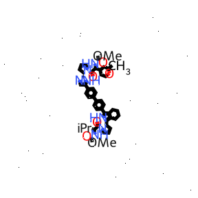 COC(=O)NC(C(=O)N1CCCC1c1[nH]c(-c2ccc(-c3ccc(-c4cnc([C@@H]5CCCN5C(=O)C(NC(=O)OC)C5CCOC(C)C5)[nH]4)cc3)cc2)c2c1CCCC2)C(C)C